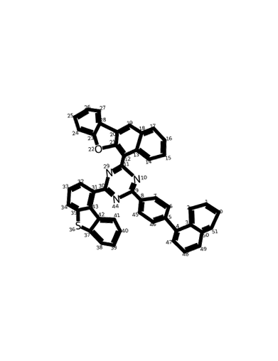 c1ccc2c(-c3ccc(-c4nc(-c5c6ccccc6cc6c5oc5ccccc56)nc(-c5cccc6sc7ccccc7c56)n4)cc3)cccc2c1